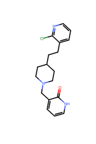 O=c1[nH]cccc1CN1CCC(CCc2cccnc2Cl)CC1